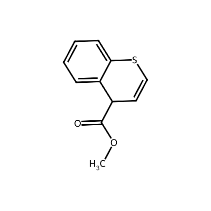 COC(=O)C1C=CSc2ccccc21